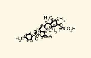 Cc1ccc(S(=O)(=O)n2cc(C(C)C)c3nc(Cc4c(C)cc(OC(F)C(=O)O)c(C)c4C)ccc32)cc1